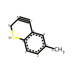 Cc1ccc2c(c1)C#CCS2